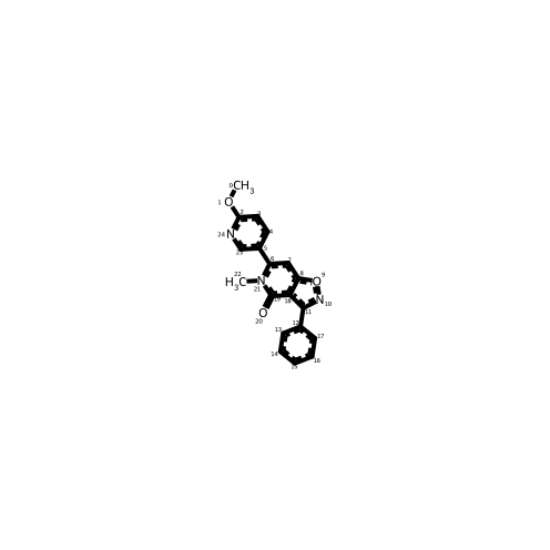 COc1ccc(-c2cc3onc(-c4ccccc4)c3c(=O)n2C)cn1